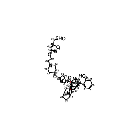 Nc1nnc(-c2ccccc2O)cc1N1CC2CCC(C1)N2c1ccnc(O[C@H]2C[C@H](OC3CCN(CCOc4cc(CC=O)on4)CC3)C2)c1